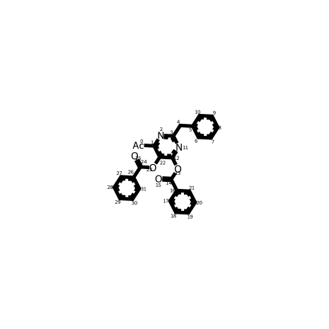 CC(=O)c1nc(Cc2ccccc2)nc(OC(=O)c2ccccc2)c1OC(=O)c1ccccc1